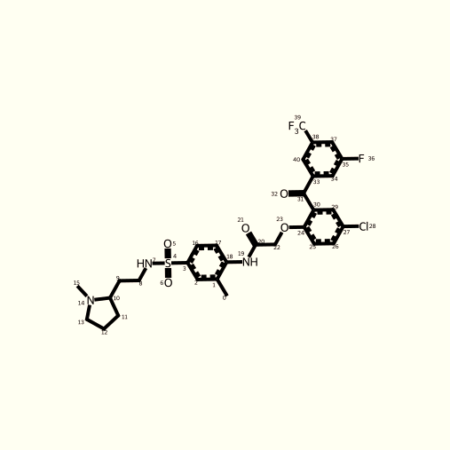 Cc1cc(S(=O)(=O)NCCC2CCCN2C)ccc1NC(=O)COc1ccc(Cl)cc1C(=O)c1cc(F)cc(C(F)(F)F)c1